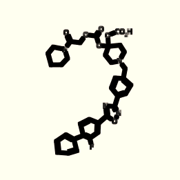 O=C(O)OC1(OC(=O)OCC(=O)N2CCCCC2)CCN(Cc2ccc(-c3noc(-c4ccc(-c5ccccc5)c(F)c4)n3)cc2)CC1